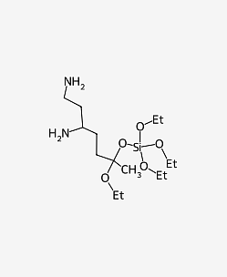 CCOC(C)(CCC(N)CCN)O[Si](OCC)(OCC)OCC